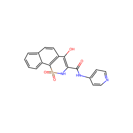 O=C(Nc1ccncc1)C1=C(O)c2ccc3ccccc3c2S(=O)(=O)N1